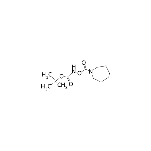 CC(C)(C)OC(=O)NOC(=O)N1CCCCCC1